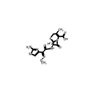 CON=C(C(=O)N[C@@H]1C(=O)N2C(C(=O)O)=C(C)CS[C@H]12)c1c[se]c(N)n1